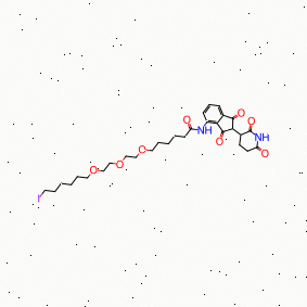 O=C1CCC(C2C(=O)c3cccc(NC(=O)CCCCCOCCOCCOCCCCCCI)c3C2=O)C(=O)N1